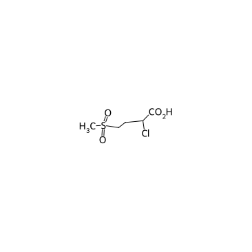 CS(=O)(=O)CCC(Cl)C(=O)O